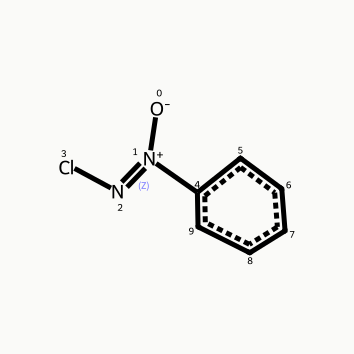 [O-]/[N+](=N\Cl)c1ccccc1